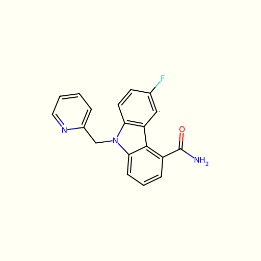 NC(=O)c1cccc2c1c1[c]c(F)ccc1n2Cc1ccccn1